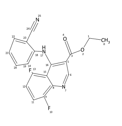 CCOC(=O)c1cnc2c(F)ccc(F)c2c1Nc1ccccc1C#N